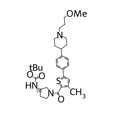 COCCCN1CCC(c2ccc(-c3cc(C)c(C(=O)N4CC[C@H](NC(=O)OC(C)(C)C)C4)s3)cc2)CC1